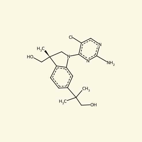 CC(C)(CO)c1ccc2c(c1)N(c1nc(N)ncc1Cl)C[C@@]2(C)CO